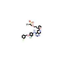 CC(C)C(COCCCC1(c2cc3c(Nc4ccc(OCc5cccc(F)c5)c(Cl)c4)ncnc3cn2)CC=CO1)=S(=O)=O